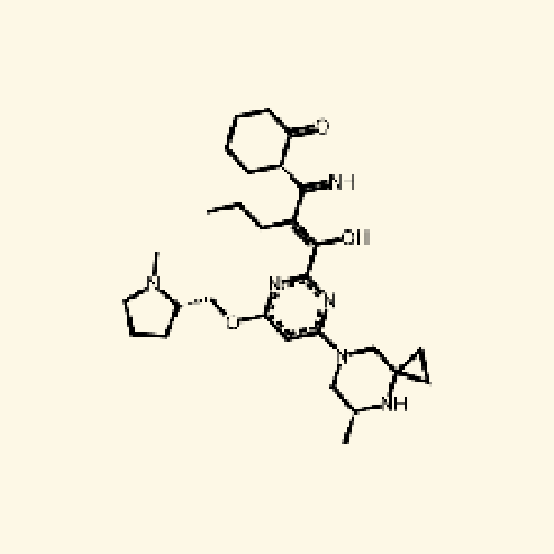 CCC/C(C(=N)[C@H]1CCCCC1=O)=C(/O)c1nc(OC[C@@H]2CCCN2C)cc(N2C[C@H](C)NC3(CC3)C2)n1